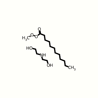 CCCCCCCCCCCC(=O)OOC.OCCNCCO